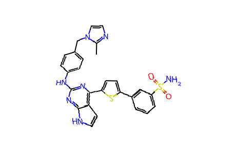 Cc1nccn1Cc1ccc(Nc2nc(-c3ccc(-c4cccc(S(N)(=O)=O)c4)s3)c3cc[nH]c3n2)cc1